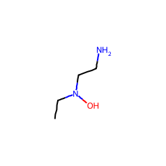 CCN(O)CCN